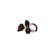 C1=CC(P(c2ccccc2)c2ccccc2)=C2c3c(cccc3P(c3ccccc3)c3ccccc3)OCCCCCCO[C@H]2C1